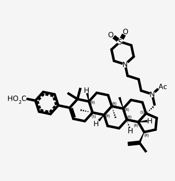 C=C(C)[C@@H]1CC[C@]2(CN(CCCN3CCS(=O)(=O)CC3)C(C)=O)CC[C@]3(C)[C@H](CC[C@@H]4[C@@]5(C)CC=C(c6ccc(C(=O)O)cc6)C(C)(C)[C@@H]5CC[C@]43C)[C@@H]12